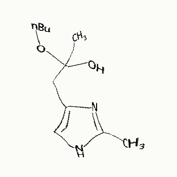 CCCCOC(C)(O)Cc1c[nH]c(C)n1